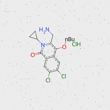 CCCCOc1c(CN)n(C2CC2)c(=O)c2cc(Cl)c(Cl)cc12.Cl